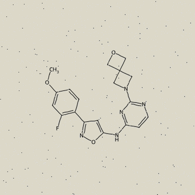 COc1ccc(-c2cc(Nc3ccnc(N4CC5(COC5)C4)n3)on2)c(F)c1